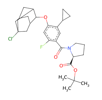 CC(C)(C)OC(=O)[C@@H]1CCCN1C(=O)c1cc(C2CC2)c(OC2C3CC4CC2CC(Cl)(C4)C3)cc1F